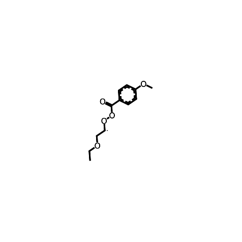 CCOC[CH]OOC(=O)c1ccc(OC)cc1